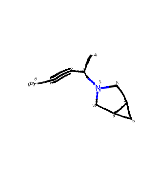 CC(C)C#CC(C)N1CC2CC2C1